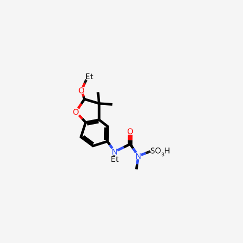 CCOC1Oc2ccc(N(CC)C(=O)N(C)S(=O)(=O)O)cc2C1(C)C